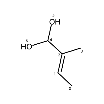 C/C=C(\C)C(O)O